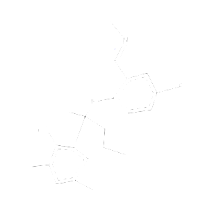 CCCC(C)(Pc1ccc(F)cc1/C=N/C)c1cc(C)cc(C)c1O